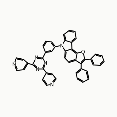 c1ccc(-c2oc3c(ccc4c3c3ccccc3n4-c3cccc(-c4nc(-c5ccncc5)nc(-c5ccncc5)n4)c3)c2-c2ccccc2)cc1